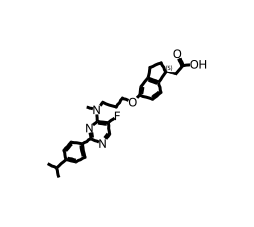 CC(C)c1ccc(-c2ncc(F)c(N(C)CCCOc3ccc4c(c3)CC[C@H]4CC(=O)O)n2)cc1